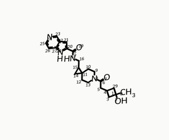 CC1(O)CC(CC(=O)N2CCC3(CC2)CC3CNC(=O)c2cc3cnccc3[nH]2)C1